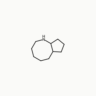 C1CCNC2CCCC2CC1